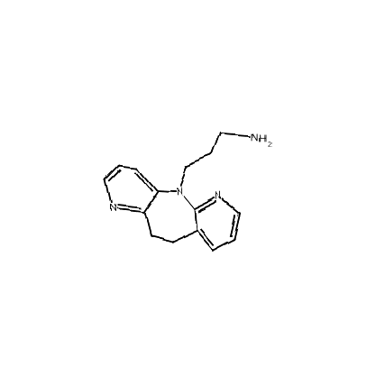 NCCCN1c2cccnc2CCc2cccnc21